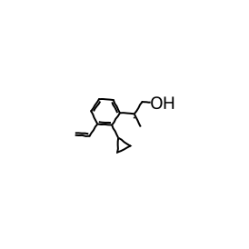 C=Cc1cccc([C](C)CO)c1C1CC1